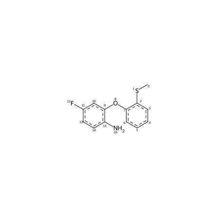 CSc1ccccc1Oc1cc(F)ccc1N